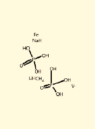 C.O=P(O)(O)O.O=P(O)(O)O.[Fe].[LiH].[NaH].[V]